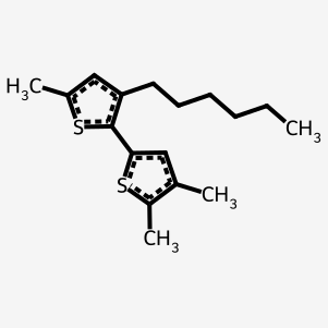 CCCCCCc1cc(C)sc1-c1cc(C)c(C)s1